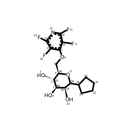 O[C@H]1[C@H](O)[C@@H](COc2c(F)c(F)nc(F)c2F)OC(C2CCCC2)[C@H]1O